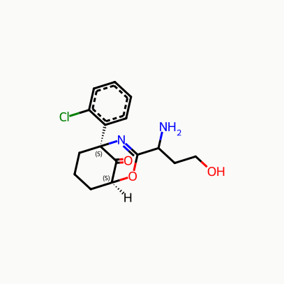 NC(CCO)C1=N[C@]2(c3ccccc3Cl)CCC[C@H](O1)C2=O